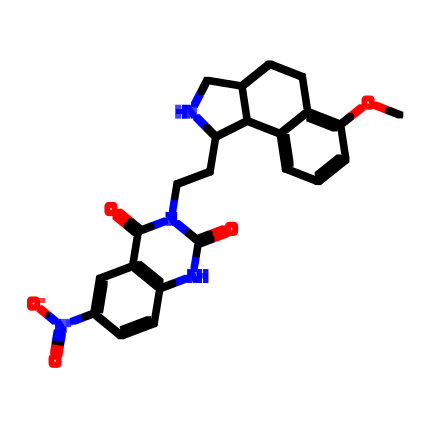 COc1cccc2c1CCC1CNC(CCn3c(=O)[nH]c4ccc([N+](=O)[O-])cc4c3=O)C21